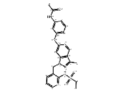 CCS(=O)(=O)Nc1ncccc1Cn1nc(C)c2cnc(Nc3cccc(NC(C)=O)c3)cc21